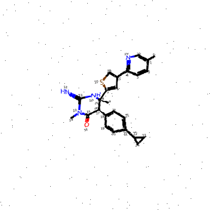 Cc1ccc(C2C=C([C@@]3(C)NC(=N)N(C)C(=O)[C@@H]3c3ccc(C4CC4)cc3)SC2)nc1